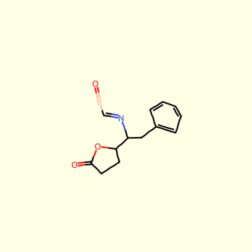 O=B/C=N/C(Cc1ccccc1)C1CCC(=O)O1